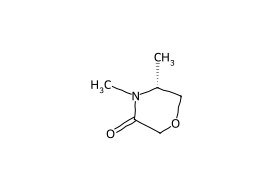 C[C@@H]1COCC(=O)N1C